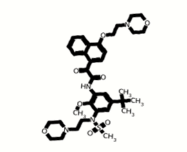 COc1c(NC(=O)C(=O)c2ccc(OCCN3CCOCC3)c3ccccc23)cc(C(C)(C)C)cc1N(CCN1CCOCC1)S(C)(=O)=O